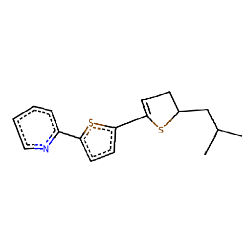 CC(C)CC1CC=C(c2ccc(-c3ccccn3)s2)S1